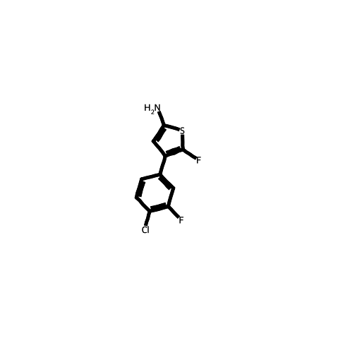 Nc1cc(-c2ccc(Cl)c(F)c2)c(F)s1